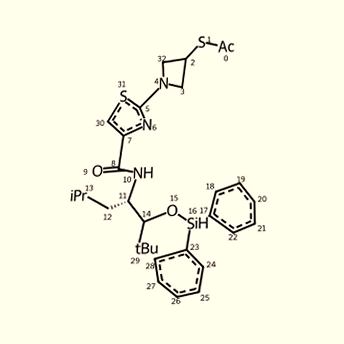 CC(=O)SC1CN(c2nc(C(=O)N[C@@H](CC(C)C)C(O[SiH](c3ccccc3)c3ccccc3)C(C)(C)C)cs2)C1